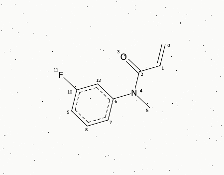 C=CC(=O)N(C)c1cccc(F)c1